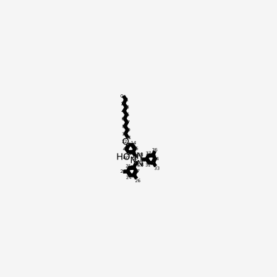 CCCCCCCCCCCCOc1ccc(-c2nc(-c3cc(C)cc(C)c3)nc(-c3cc(C)cc(C)c3)n2)c(O)c1